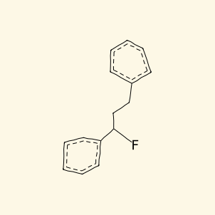 FC(CCc1ccccc1)c1ccccc1